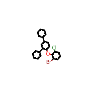 Clc1cccc(Br)c1Oc1ccc(-c2ccccc2)cc1-c1ccccc1